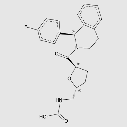 O=C(O)NC[C@H]1CC[C@H](C(=O)N2CCc3ccccc3[C@@H]2c2ccc(F)cc2)O1